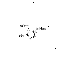 CCCCCCCCC1N(CC)C=CN1CCCCCC